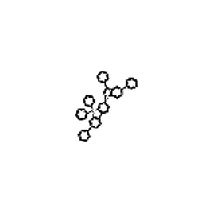 c1ccc(-c2ccc3c(c2)[Si](c2ccccc2)(c2ccccc2)c2cc(-n4cc(-c5ccccc5)c5cc(-c6ccccc6)ccc54)ccc2-3)cc1